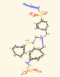 [N-]=[N+]=NS(=O)(=O)c1ccc(CN(CCSc2ccccc2)Cc2ccc(N[SH](=O)=O)cc2)cc1